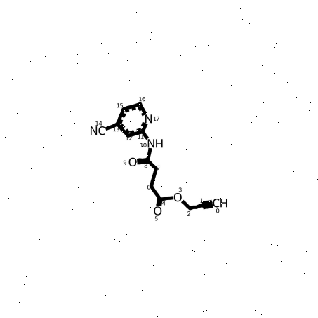 C#CCOC(=O)CCC(=O)Nc1cc(C#N)ccn1